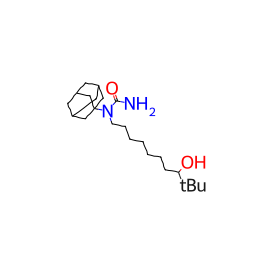 CC(C)(C)C(O)CCCCCCCN(C(N)=O)C12CC3CC(CC(C3)C1)C2